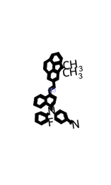 CC1(C)c2cccc3ccc4cc(/C=C/c5ccc(N(c6ccc(C#N)cc6)c6ccccc6F)c6ccccc56)cc1c4c23